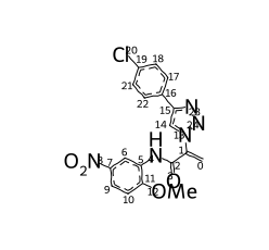 C=C(C(=O)Nc1cc([N+](=O)[O-])ccc1OC)n1cc(-c2ccc(Cl)cc2)nn1